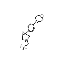 FC(F)(F)CN1CC2CC2(c2ccc(N3CCOCC3)cc2)C1